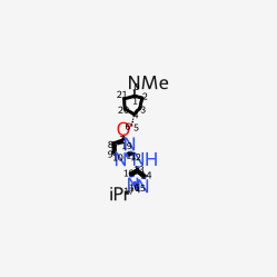 CN[C@H]1CC[C@H](COc2ccnc(Nc3cnn(C(C)C)c3)n2)CC1